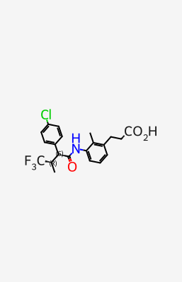 Cc1c(CCC(=O)O)cccc1NC(=O)[C@H](c1ccc(Cl)cc1)[C@@H](C)C(F)(F)F